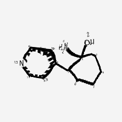 NC1(O)CCCCC1c1ccncc1